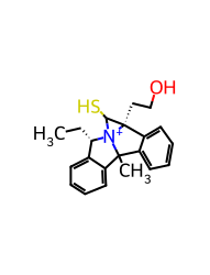 CC[C@H]1c2ccccc2C2(C)c3ccccc3[C@]3(CCO)C(S)[N+]123